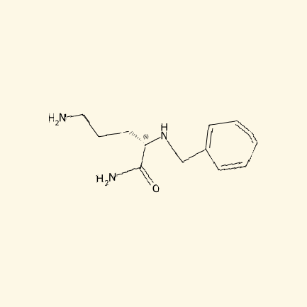 NCCC[C@H](NCc1ccccc1)C(N)=O